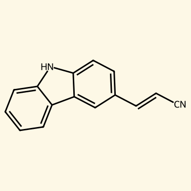 N#C/C=C/c1ccc2[nH]c3ccccc3c2c1